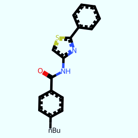 CCCCc1ccc(C(=O)Nc2csc(-c3ccccc3)n2)cc1